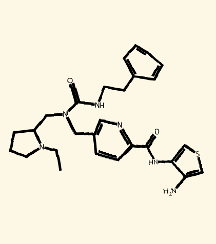 CCN1CCCC1CN(Cc1ccc(C(=O)Nc2cscc2N)nc1)C(=O)NCCc1ccccc1